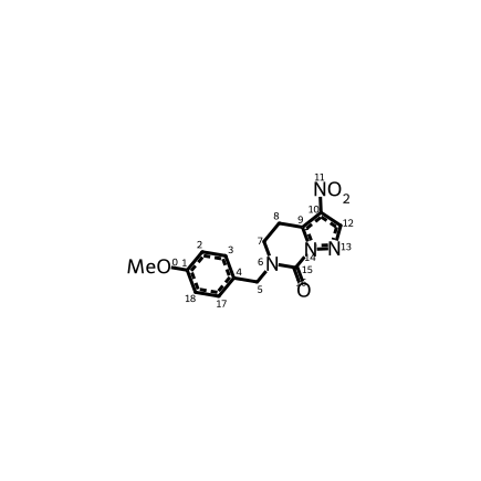 COc1ccc(CN2CCc3c([N+](=O)[O-])cnn3C2=O)cc1